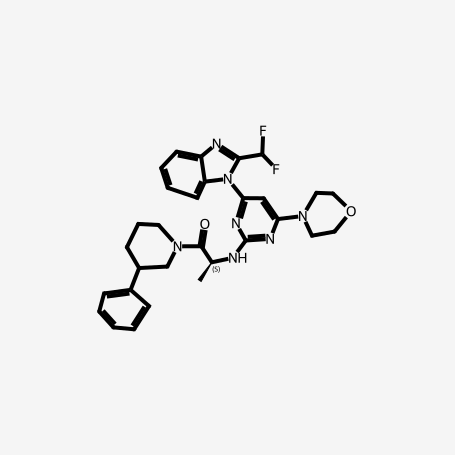 C[C@H](Nc1nc(N2CCOCC2)cc(-n2c(C(F)F)nc3ccccc32)n1)C(=O)N1CCCC(c2ccccc2)C1